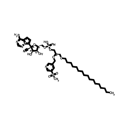 CCCCCCCCCCCCCCCCCOC[C@H](COP(O)(=P)OC[C@H]1O[C@@](C#N)(c2ccc3c(N)ncnn23)[C@H](O)[C@@H]1O)OCc1cncc(S(C)(=O)=O)c1